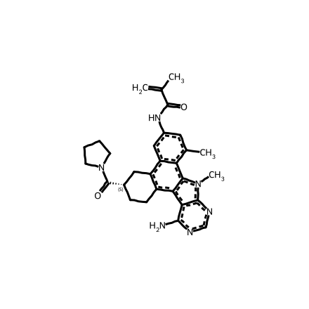 C=C(C)C(=O)Nc1cc(C)c2c(c1)c1c(c3c4c(N)ncnc4n(C)c23)CC[C@H](C(=O)N2CCCC2)C1